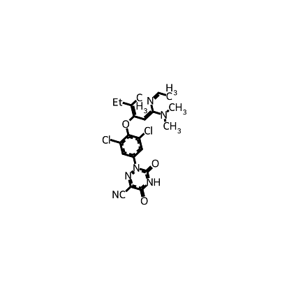 C\C=N/C(=C\C(Oc1c(Cl)cc(-n2nc(C#N)c(=O)[nH]c2=O)cc1Cl)=C(/C)CC)N(C)C